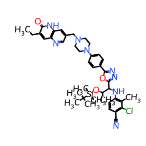 CCc1cc2ncc(CN3CCN(c4ccc(-c5nnc(C(Nc6ccc(C#N)c(Cl)c6C)C(C)O[Si](C)(C)C(C)(C)C)o5)cc4)CC3)cc2[nH]c1=O